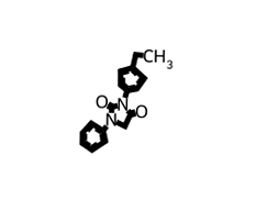 CCc1ccc(N2C(=O)CN(c3ccccc3)C2=O)cc1